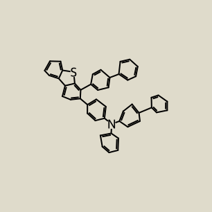 c1ccc(-c2ccc(-c3c(-c4ccc(N(c5ccccc5)c5ccc(-c6ccccc6)cc5)cc4)ccc4c3sc3ccccc34)cc2)cc1